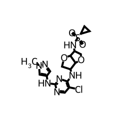 Cn1cc(Nc2ncc(Cl)c(NC3COC4C(NS(=O)(=O)C5CC5)COC34)n2)cn1